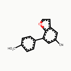 N#Cc1cc(-c2ccc(C(=O)O)cc2)c2occc2c1